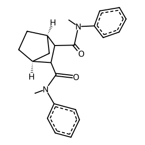 CN(C(=O)C1C(C(=O)N(C)c2ccccc2)[C@H]2CC[C@@H]1C2)c1ccccc1